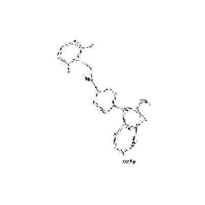 COc1ccc2c(c1)nc(C(F)(F)F)n2C1=CCC(NCc2c(F)cccc2F)C=C1